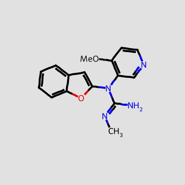 CN=C(N)N(c1cc2ccccc2o1)c1cnccc1OC